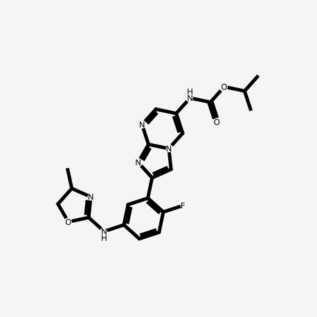 CC1COC(Nc2ccc(F)c(-c3cn4cc(NC(=O)OC(C)C)cnc4n3)c2)=N1